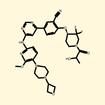 COc1nc(Nc2cc(-c3ccc(O[C@@H]4CCN(C(=O)C(C)O)CC4(F)F)c(C#N)c3)ncn2)ccc1N1CCN(C2COC2)CC1